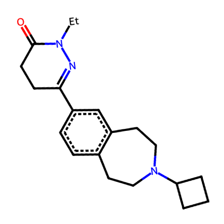 CCN1N=C(c2ccc3c(c2)CCN(C2CCC2)CC3)CCC1=O